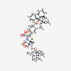 CC(C)(C)[Si](C)(C)OCC[C@]1(C=O)C(=O)N2C(C(=O)O)=C(c3ccc(CO[Si](c4ccccc4)(c4ccccc4)C(C)(C)C)cc3)S[C@@H]21